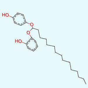 CCCCCCCCCCCCCCC(Oc1ccc(O)cc1)Oc1ccccc1O